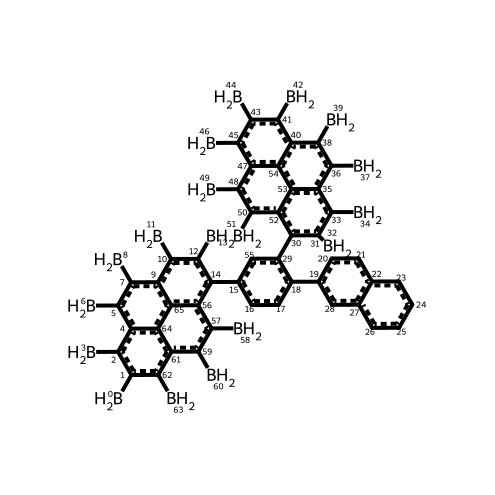 Bc1c(B)c2c(B)c(B)c3c(B)c(B)c(-c4ccc(-c5ccc6ccccc6c5)c(-c5c(B)c(B)c6c(B)c(B)c7c(B)c(B)c(B)c8c(B)c(B)c5c6c78)c4)c4c(B)c(B)c(c1B)c2c34